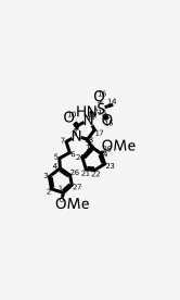 COc1ccc(CCCN2C(=O)N(NS(C)(=O)=O)CC2c2ccccc2OC)cc1